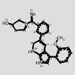 COc1ccccc1-c1c[nH]c2c1C=C(c1cccc(C(=N)N3CCC(O)C3)c1)CN2